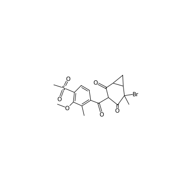 COc1c(S(C)(=O)=O)ccc(C(=O)C2C(=O)C3CC3C(C)(Br)C2=O)c1C